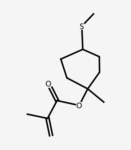 C=C(C)C(=O)OC1(C)CCC(SC)CC1